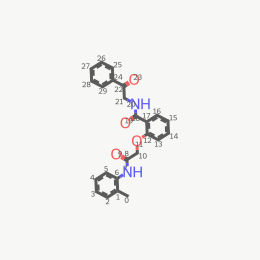 Cc1ccccc1NC(=O)COc1ccccc1C(=O)NCC(=O)c1ccccc1